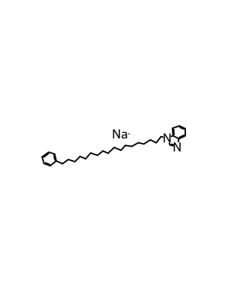 [Na].c1ccc(CCCCCCCCCCCCCCCCCCn2cnc3ccccc32)cc1